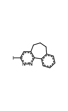 Ic1cc2c(nn1)-c1ccccc1CCC2